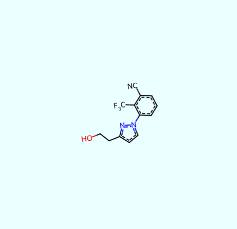 N#Cc1cccc(-n2ccc(CCO)n2)c1C(F)(F)F